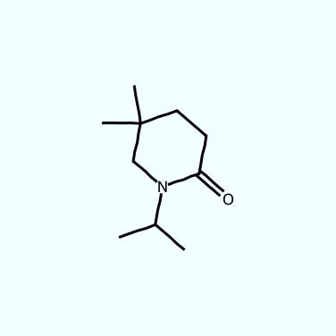 CC(C)N1CC(C)(C)CCC1=O